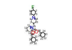 Fc1ccc(N2CCC(CN3CCCCC3(COCc3ccccc3)OCc3ccccc3)CC2)cc1